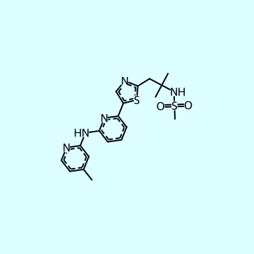 Cc1ccnc(Nc2cccc(-c3cnc(CC(C)(C)NS(C)(=O)=O)s3)n2)c1